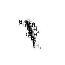 CCCCOc1ccc(C(=O)Nc2cc(C)c(N3CCC(N(C)C(=O)OC(C)(C)C)C3)cc2Cl)cc1